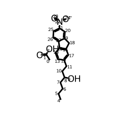 CC(=O)O.CCCCC(O)CCc1ccc2c(c1)Cc1cc([N+](=O)[O-])ccc1-2